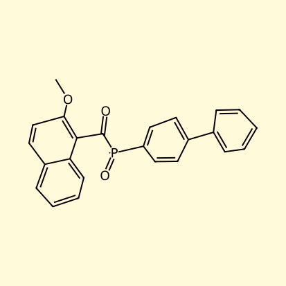 COc1ccc2ccccc2c1C(=O)[P](=O)c1ccc(-c2ccccc2)cc1